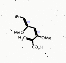 C=C(C(=O)O)/C(=C\C(=C\C(C)C)OC)OC